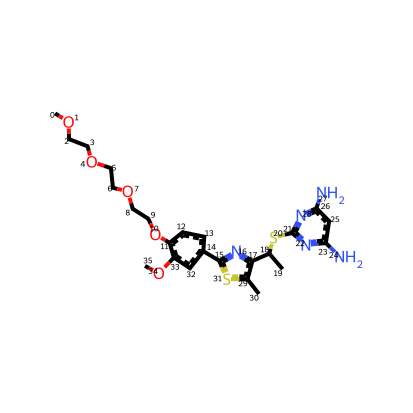 COCCOCCOCCOc1ccc(-c2nc(C(C)Sc3nc(N)cc(N)n3)c(C)s2)cc1OC